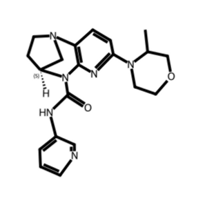 CC1COCCN1c1ccc2c(n1)N(C(=O)Nc1cccnc1)[C@H]1CCN2C1